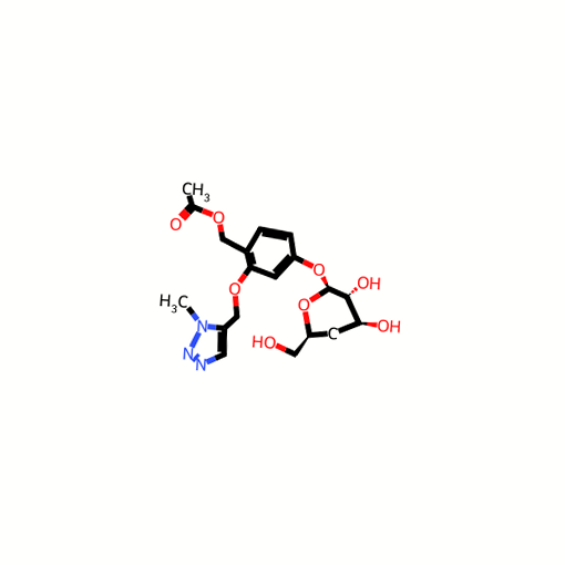 CC(=O)OCc1ccc(O[C@@H]2O[C@H](CO)C[C@H](O)[C@H]2O)cc1OCc1cnnn1C